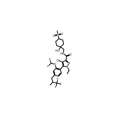 CCn1nc(C(=O)NCC2(O)CCC(S(C)(=O)=O)CC2)c(Cl)c1-c1ccc(CC(C)C(F)(F)F)cc1OC(F)F